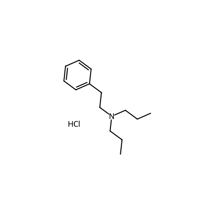 CCCN(CCC)CCc1ccccc1.Cl